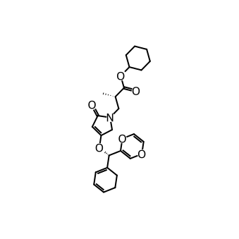 C[C@@H](CN1CC(O[C@@H](C2=CC=CCC2)C2=COC=CO2)=CC1=O)C(=O)OC1CCCCC1